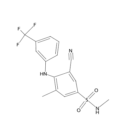 CNS(=O)(=O)c1cc(C)c(Nc2cccc(C(F)(F)F)c2)c(C#N)c1